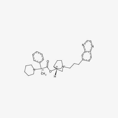 C[C@@](C(=O)O[C@H]1C[N+]2(CCCc3ccc4nccnc4c3)CCC1CC2)(c1ccccc1)N1CCCCC1